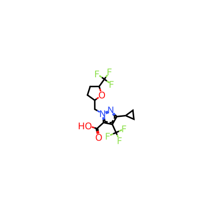 O=C(O)c1c(C(F)(F)F)c(C2CC2)nn1CC1CCC(C(F)(F)F)O1